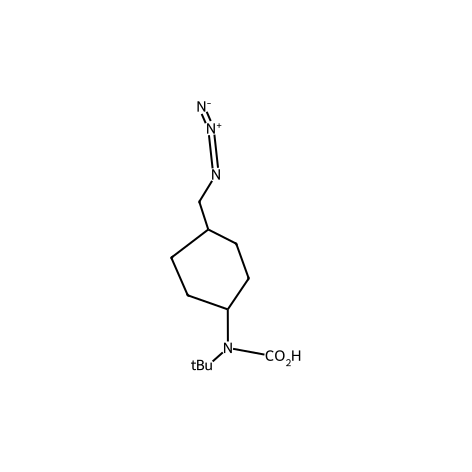 CC(C)(C)N(C(=O)O)C1CCC(CN=[N+]=[N-])CC1